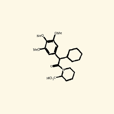 COc1cc(C(C(=O)N2CCCCC2C(=O)O)C2CCCCC2)cc(OC)c1OC